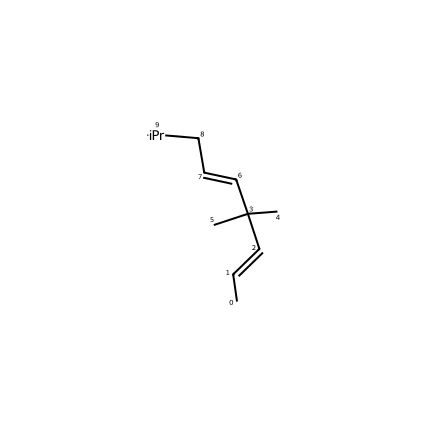 CC=CC(C)(C)C=CC[C](C)C